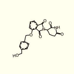 O=C1CCC(N2C(=O)c3cccc(OCc4ccc(CO)cc4)c3C2=O)C(=O)N1